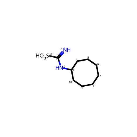 N=C(NC1CCCCCCC1)S(=O)(=O)O